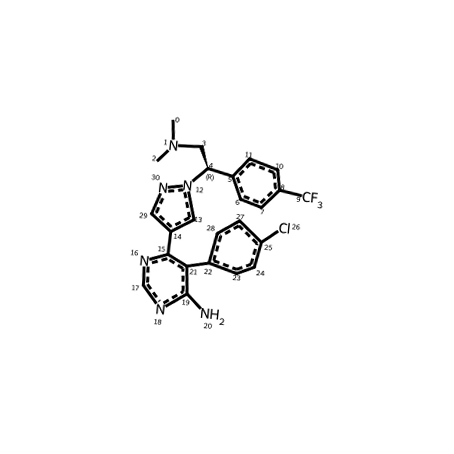 CN(C)C[C@@H](c1ccc(C(F)(F)F)cc1)n1cc(-c2ncnc(N)c2-c2ccc(Cl)cc2)cn1